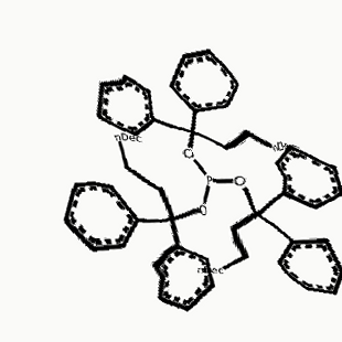 CCCCCCCCCCCCC(OP(OC(CCCCCCCCCCCC)(c1ccccc1)c1ccccc1)OC(CCCCCCCCCCCC)(c1ccccc1)c1ccccc1)(c1ccccc1)c1ccccc1